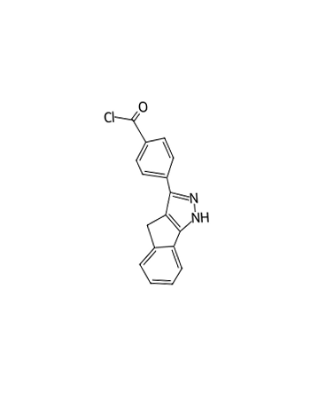 O=C(Cl)c1ccc(-c2n[nH]c3c2Cc2ccccc2-3)cc1